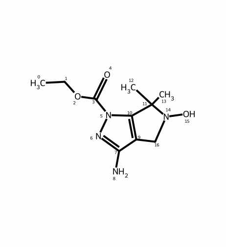 CCOC(=O)n1nc(N)c2c1C(C)(C)N(O)C2